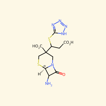 NC1C(=O)N2CC(C(=O)O)(C(CC(=O)O)Sc3nnn[nH]3)CS[C@H]12